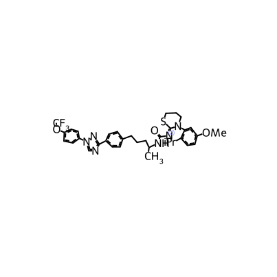 COc1ccc(C(C)C)c(N2CCCS/C2=N\C(=O)NC(C)CCCc2ccc(-c3ncn(-c4ccc(OC(F)(F)F)cc4)n3)cc2)c1